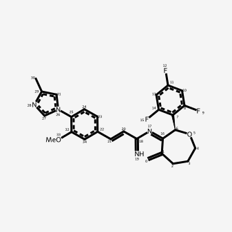 C=C1CCCO[C@H](c2c(F)cc(F)cc2F)/C1=N/C(=N)/C=C/c1ccc(-n2cnc(C)c2)c(OC)c1